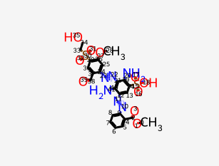 COC(=O)c1ccccc1/N=N/c1cc(S(=O)(=O)O)c(N)c(/N=N/c2cc(OC)c(S(=O)(=O)CCO)cc2C=O)c1N